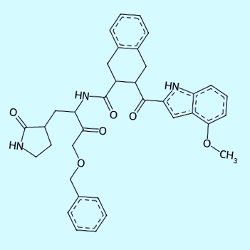 COc1cccc2[nH]c(C(=O)C3Cc4ccccc4CC3C(=O)NC(CC3CCNC3=O)C(=O)COCc3ccccc3)cc12